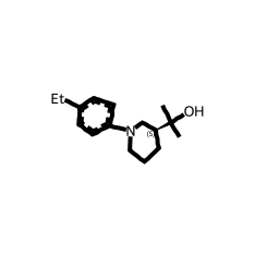 CCc1ccc(N2CCC[C@H](C(C)(C)O)C2)cc1